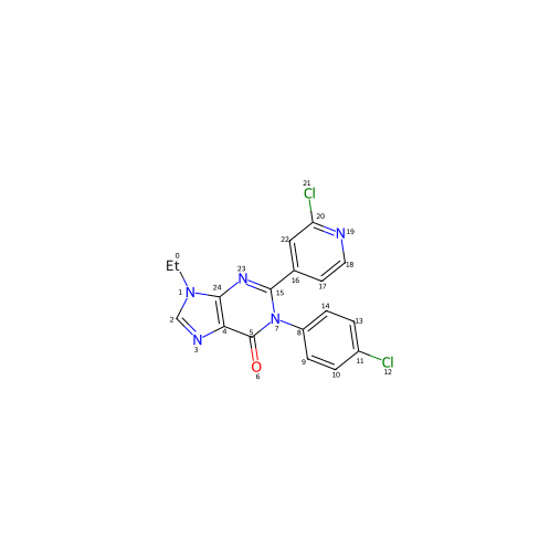 CCn1cnc2c(=O)n(-c3ccc(Cl)cc3)c(-c3ccnc(Cl)c3)nc21